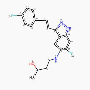 CC(O)CCNc1cc2c(C=Cc3ccc(F)cc3)n[nH]c2cc1F